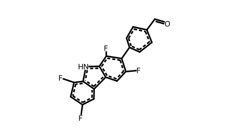 O=Cc1ccc(-c2c(F)cc3c([nH]c4c(F)cc(F)cc43)c2F)cc1